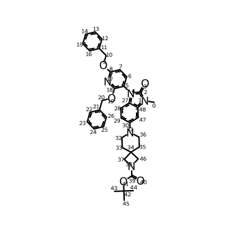 Cn1c(=O)n(-c2ccc(OCc3ccccc3)nc2OCc2ccccc2)c2ccc(N3CCC4(CC3)CN(C(=O)OC(C)(C)C)C4)cc21